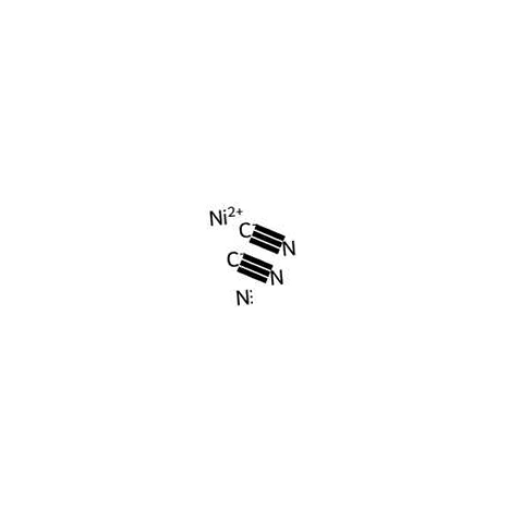 [C-]#N.[C-]#N.[N].[Ni+2]